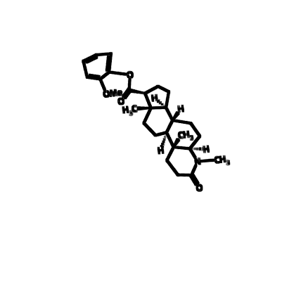 COc1ccccc1OC(=O)[C@H]1CC[C@H]2[C@@H]3CC[C@H]4N(C)C(=O)CC[C@]4(C)[C@H]3CC[C@]12C